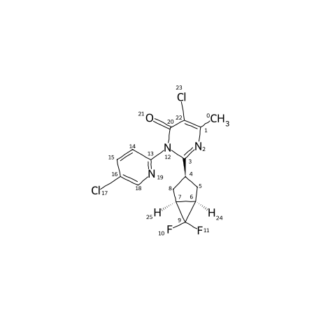 Cc1nc([C@H]2C[C@@H]3[C@H](C2)C3(F)F)n(-c2ccc(Cl)cn2)c(=O)c1Cl